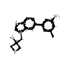 Cc1cc(-c2ccc3ncn(CC4(O)COC4)c3c2)cc(C(F)(F)F)c1